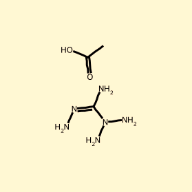 CC(=O)O.NN=C(N)N(N)N